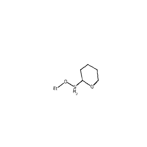 CCO[SiH2]C1CCCCO1